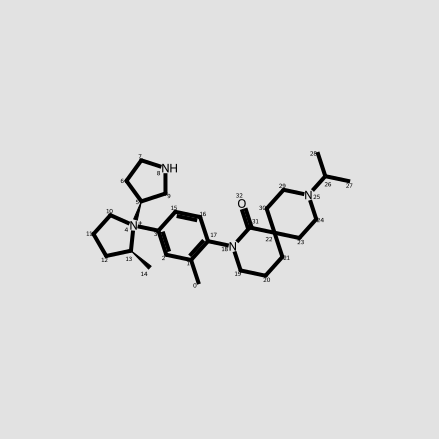 Cc1cc([N+]2([C@H]3CCNC3)CCC[C@@H]2C)ccc1N1CCCC2(CCN(C(C)C)CC2)C1=O